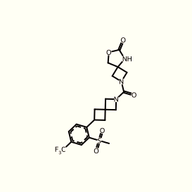 CS(=O)(=O)c1cc(C(F)(F)F)ccc1C1CC2(C1)CN(C(=O)N1CC3(COC(=O)N3)C1)C2